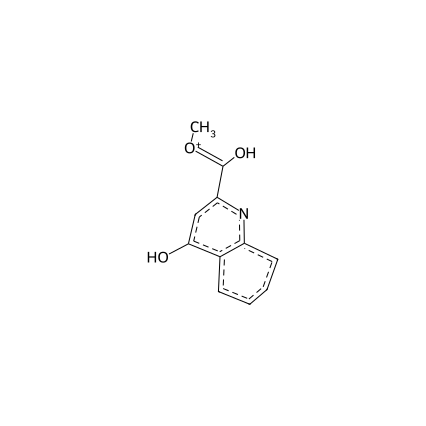 C[O+]=C(O)c1cc(O)c2ccccc2n1